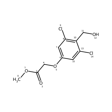 COC(=O)COc1cc(Cl)c(CO)c(Cl)c1